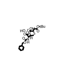 CC(C)(C)OC(=O)CC1SC[C@@H]2[C@H](NC(=O)OCc3ccccc3)C(=O)N2C1(O)C(=O)O